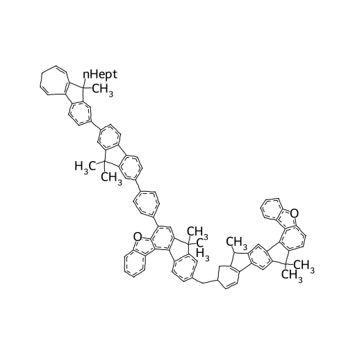 CCCCCCCC1(C)C2=C(C=CCC=C2)c2ccc(-c3ccc4c(c3)C(C)(C)c3cc(-c5ccc(-c6cc7c(c8c6oc6ccccc68)-c6ccc(CC8C=CC9=C(C8)C(C)c8cc%10c(cc89)C(C)(C)c8ccc9oc%11ccccc%11c9c8-%10)cc6C7(C)C)cc5)ccc3-4)cc21